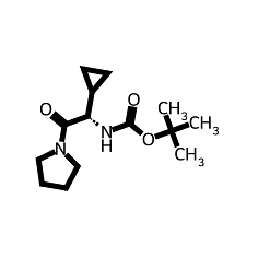 CC(C)(C)OC(=O)N[C@H](C(=O)N1CCCC1)C1CC1